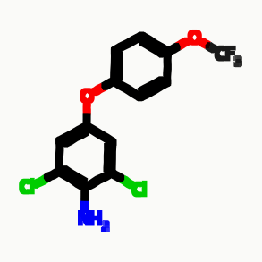 Nc1c(Cl)cc(Oc2ccc(OC(F)(F)F)cc2)cc1Cl